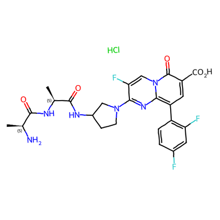 C[C@H](N)C(=O)N[C@@H](C)C(=O)NC1CCN(c2nc3c(-c4ccc(F)cc4F)cc(C(=O)O)c(=O)n3cc2F)C1.Cl